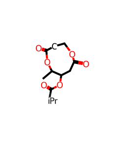 CC(C)C(=O)OC1CC(=O)OCCC(=O)OC1C